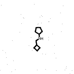 C1CC(CNC2CCCC2)C1